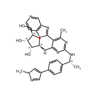 Cc1nc(N[C@H](C)c2ccc(-c3cnn(C)c3)cc2)nc(N[C@@H]2C[C@H](CO)[C@@H](O)[C@H]2O)c1-c1nc2cnccc2s1